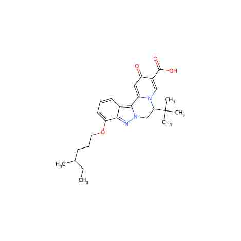 CCC(C)CCCOc1cccc2c3n(nc12)CC(C(C)(C)C)n1cc(C(=O)O)c(=O)cc1-3